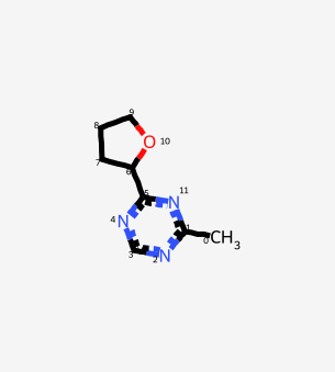 Cc1ncnc(C2CCCO2)n1